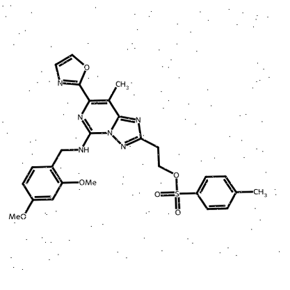 COc1ccc(CNc2nc(-c3ncco3)c(C)c3nc(CCOS(=O)(=O)c4ccc(C)cc4)nn23)c(OC)c1